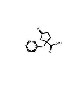 COC(=O)C1(Sc2ccncc2)CCC(=O)O1